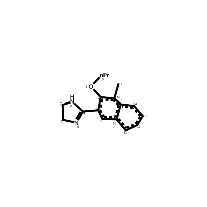 CCCOc1c(C2=NCCN2)cc2ccccc2c1C